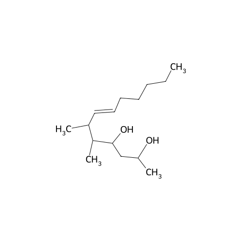 CCCCCC=CC(C)C(C)C(O)CC(C)O